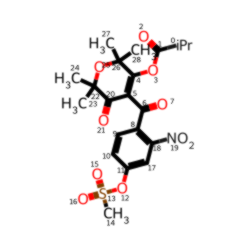 CC(C)C(=O)OC1=C(C(=O)c2ccc(OS(C)(=O)=O)cc2[N+](=O)[O-])C(=O)C(C)(C)OC1(C)C